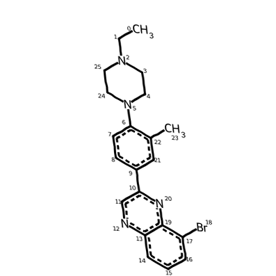 CCN1CCN(c2ccc(-c3cnc4cccc(Br)c4n3)cc2C)CC1